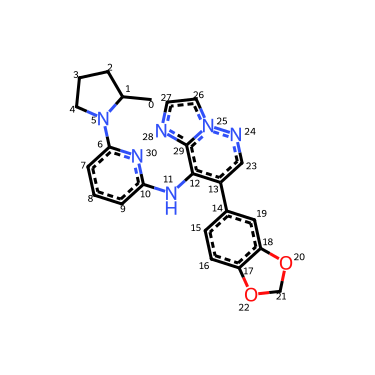 CC1CCCN1c1cccc(Nc2c(-c3ccc4c(c3)OCO4)cnn3ccnc23)n1